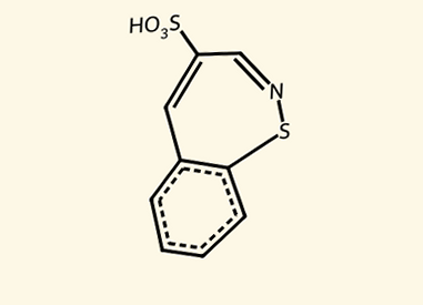 O=S(=O)(O)C1=Cc2ccccc2SN=C1